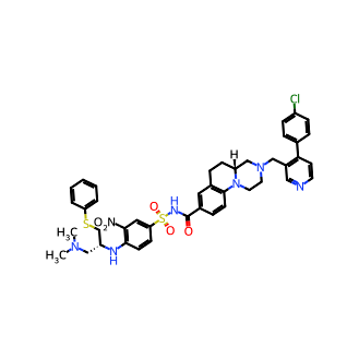 CN(C)C[C@H](CSc1ccccc1)Nc1ccc(S(=O)(=O)NC(=O)c2ccc3c(c2)CC[C@@H]2CN(Cc4cnccc4-c4ccc(Cl)cc4)CCN32)cc1[N+](=O)[O-]